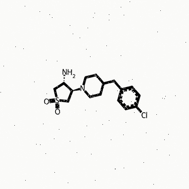 N[C@H]1CS(=O)(=O)C[C@@H]1N1CCC(Cc2ccc(Cl)cc2)CC1